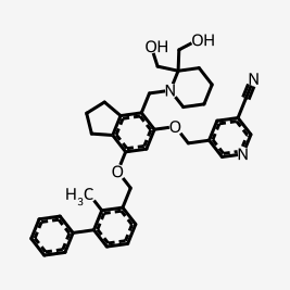 Cc1c(COc2cc(OCc3cncc(C#N)c3)c(CN3CCCCC3(CO)CO)c3c2CCC3)cccc1-c1ccccc1